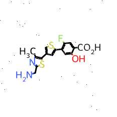 Cc1nc(CN)sc1-c1csc(-c2cc(O)c(C(=O)O)cc2F)c1